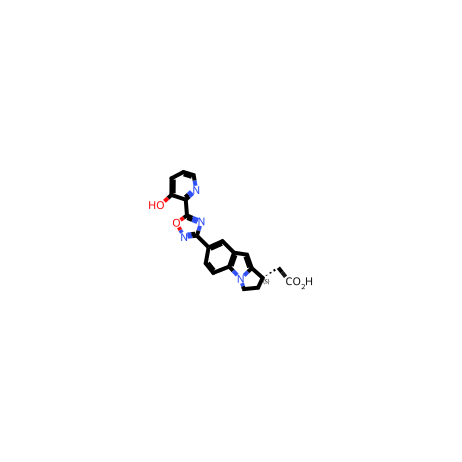 O=C(O)C[C@@H]1CCn2c1cc1cc(-c3noc(-c4ncccc4O)n3)ccc12